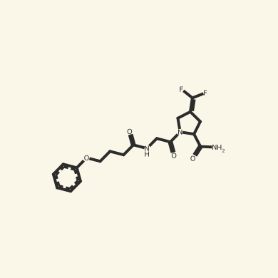 NC(=O)C1CC(=C(F)F)CN1C(=O)CNC(=O)CCCOc1ccccc1